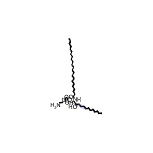 CCCCCCC/C=C/C=C/[C@@H](O)[C@H](COP(=O)(O)OCCN)NC(=O)CCCCCCCCCCCCCCCCCCCCCC